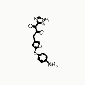 Nc1ccc(Sc2cc(CC(=O)C(=O)c3nc[nH]n3)co2)cc1